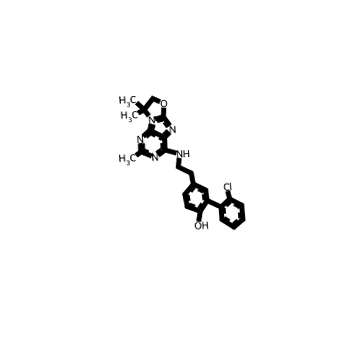 Cc1nc(NCCc2ccc(O)c(-c3ccccc3Cl)c2)c2nc3n(c2n1)C(C)(C)CO3